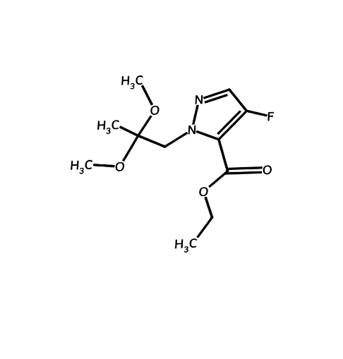 CCOC(=O)c1c(F)cnn1CC(C)(OC)OC